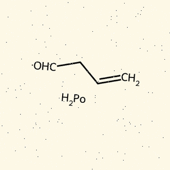 C=CC[C]=O.[PoH2]